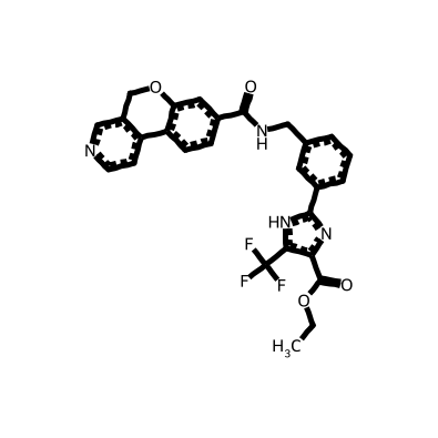 CCOC(=O)c1nc(-c2cccc(CNC(=O)c3ccc4c(c3)OCc3cnccc3-4)c2)[nH]c1C(F)(F)F